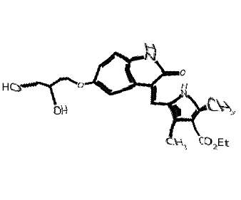 CCOC(=O)c1c(C)[nH]c(C=C2C(=O)Nc3ccc(OCC(O)CO)cc32)c1C